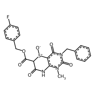 Cn1c2c(c(=O)n(Cc3ccccc3)c1=O)[S+]([O-])C(C(=O)OCc1ccc(F)cc1)C(=O)N2